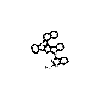 N#Cc1nc(-n2c3ccccc3c3c4c5c6ccccc6ccc5n5c6ccccc6c(cc32)c45)c2ccccc2n1